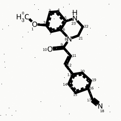 COc1ccc2c(c1)N(C(=O)C=Cc1ccc(C#N)cc1)CCN2